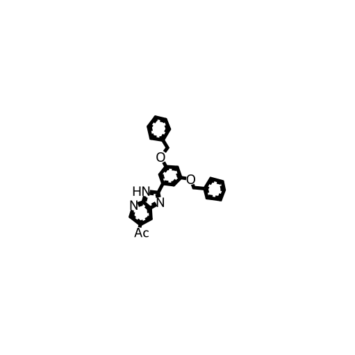 CC(=O)c1cnc2[nH]c(-c3cc(OCc4ccccc4)cc(OCc4ccccc4)c3)nc2c1